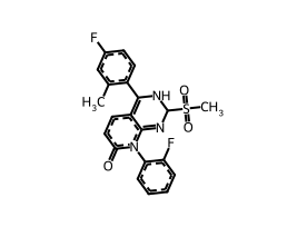 Cc1cc(F)ccc1C1=c2ccc(=O)n(-c3ccccc3F)c2=NC(S(C)(=O)=O)N1